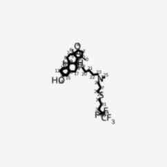 C[C@@H]1CC(=O)[C@@]2(C)CC[C@@H]3c4ccc(O)cc4C[C@@H](CCCCCN(C)CCCSCCCC(F)(F)C(F)(F)F)[C@H]3[C@H]12